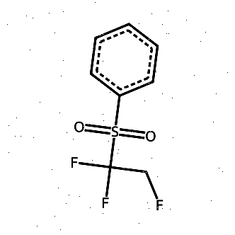 O=S(=O)(c1ccccc1)C(F)(F)CF